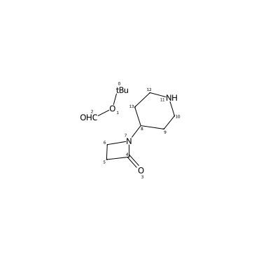 CC(C)(C)OC=O.O=C1CCN1C1CCNCC1